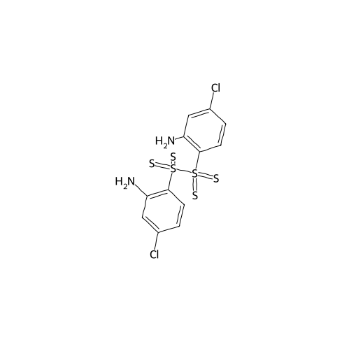 Nc1cc(Cl)ccc1S(=S)(=S)S(=S)(=S)c1ccc(Cl)cc1N